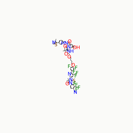 Cc1ncsc1-c1ccc(CNC(=O)[C@@H]2C[C@@H](O)CN2C(=O)[C@@H](NC(=O)COCCCCOc2c(F)cc(-c3ncc(N4C(=S)N(c5ccc(C#N)c(C(F)(F)F)c5F)C(=O)C4(C)C)cc3C(F)(F)F)cc2F)C(C)(C)C)cc1